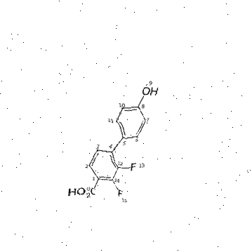 O=C(O)c1ccc(-c2ccc(O)cc2)c(F)c1F